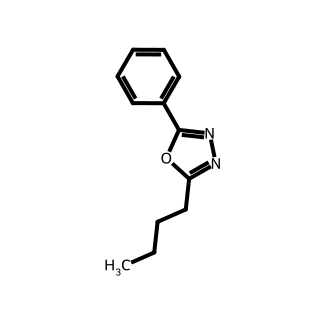 CCCCc1nnc(-c2ccccc2)o1